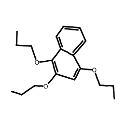 CCCOc1cc(OCCC)c2ccccc2c1OCCC